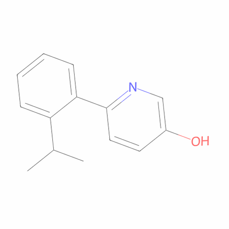 CC(C)c1ccccc1-c1ccc(O)cn1